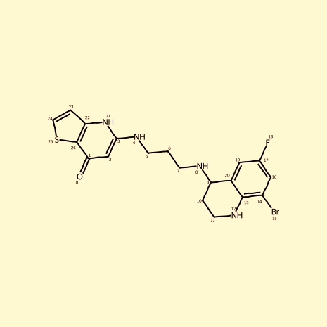 O=c1cc(NCCCNC2CCNc3c(Br)cc(F)cc32)[nH]c2ccsc12